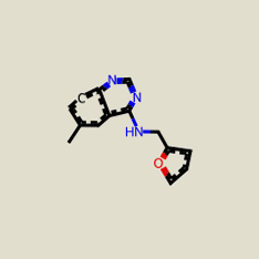 Cc1ccc2ncnc(NCc3ccco3)c2c1